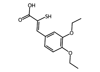 CCOc1ccc(C=C(S)C(=O)O)cc1OCC